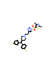 Cc1nc(C)c(S(=O)(=O)n2cc(CCN3CCC(=C(c4ccc(F)cc4)c4ccc(F)cc4)CC3)nn2)s1